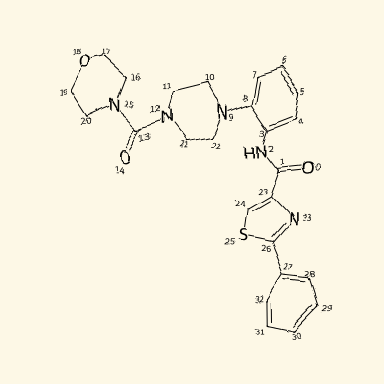 O=C(Nc1ccccc1N1CCN(C(=O)N2CCOCC2)CC1)c1csc(-c2ccccc2)n1